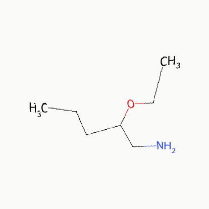 CCCC(CN)OCC